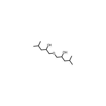 CC(C)CC(O)COCC(O)CC(C)C